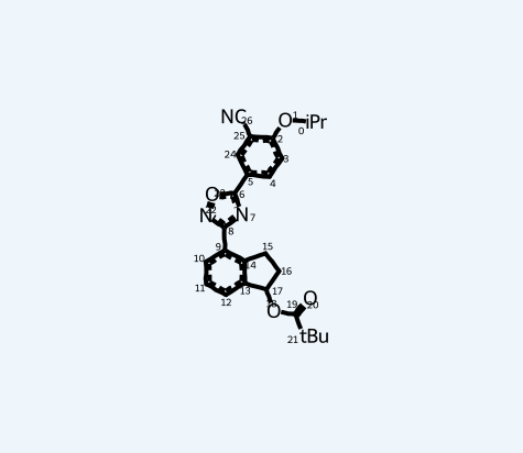 CC(C)Oc1ccc(-c2nc(-c3cccc4c3CCC4OC(=O)C(C)(C)C)no2)cc1C#N